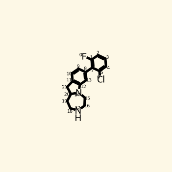 Fc1cccc(Cl)c1-c1ccc2c(c1)N1CCNCCC1C2